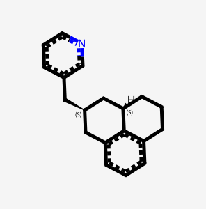 c1cncc(C[C@@H]2Cc3cccc4c3[C@@H](CCC4)C2)c1